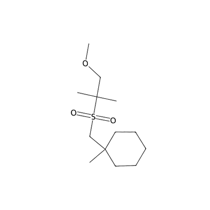 COCC(C)(C)S(=O)(=O)CC1(C)CCCCC1